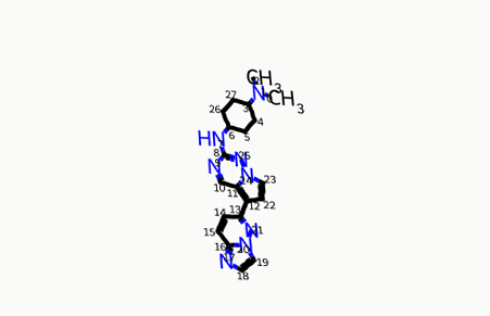 CN(C)C1CCC(Nc2ncc3c(-c4ccc5nccn5n4)ccn3n2)CC1